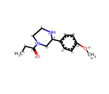 CCC(=O)N1CCNC(c2ccc(OC)cc2)C1